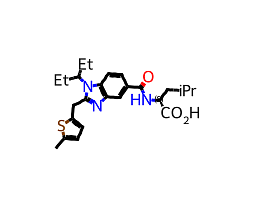 CCC(CC)n1c(Cc2ccc(C)s2)nc2cc(C(=O)N[C@@H](CC(C)C)C(=O)O)ccc21